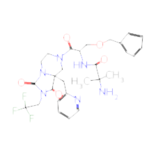 CC(C)(N)C(=O)N[C@H](COCc1ccccc1)C(=O)N1CCN2C(=O)N(CC(F)(F)F)C(=O)[C@@]2(Cc2ccccn2)C1